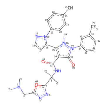 CN(C)Cc1nnc(C(C)(C)NC(=O)c2c(-c3ccnn3-c3ccc(C#N)cc3)n(C)n(-c3cccc(C(F)(F)F)c3)c2=O)o1